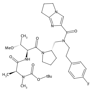 CO[C@H](C)[C@H](NC(=O)[C@H](C)N(C)C(=O)OC(C)(C)C)C(=O)N1CCC[C@H]1CN(CCc1ccc(F)cc1)C(=O)c1cn2c(n1)CCC2